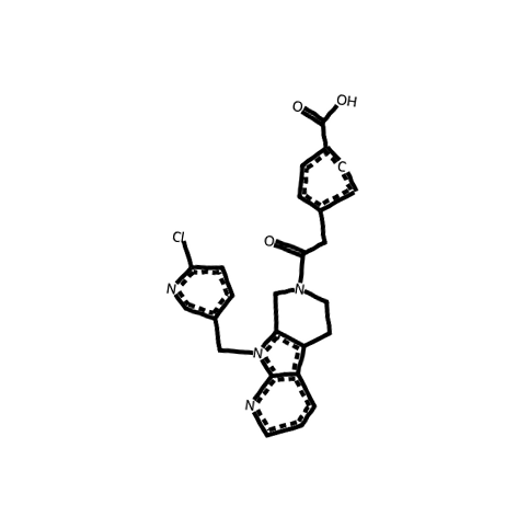 O=C(O)c1ccc(CC(=O)N2CCc3c(n(Cc4ccc(Cl)nc4)c4ncccc34)C2)cc1